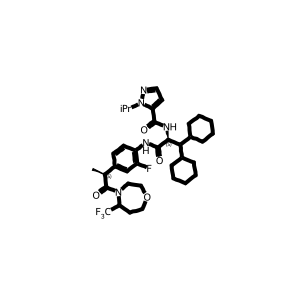 CC(C)n1nccc1C(=O)N[C@H](C(=O)Nc1ccc([C@H](C)C(=O)N2CCOCCC2C(F)(F)F)cc1F)C(C1CCCCC1)C1CCCCC1